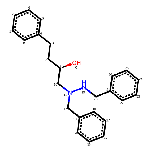 O[C@H](CCc1ccccc1)CN(Cc1ccccc1)NCc1ccccc1